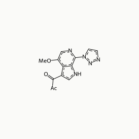 COc1cnc(-n2ccnn2)c2[nH]cc(C(=O)C(C)=O)c12